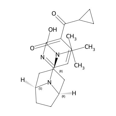 CC(C)(C)N(C(=O)O)[C@H]1C[C@H]2CC[C@@H](C1)N2c1ccc(C(=O)C2CC2)cn1